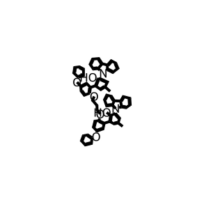 Cc1cc(-c2cc(Oc3ccccc3)ccc2OCCCOc2ccc(Oc3ccccc3)cc2-c2cc(C)cc(-n3c4ccccc4c4ccccc43)c2O)c(O)c(-n2c3ccccc3c3ccccc32)c1